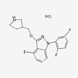 Cl.Fc1ccc(F)c(-n2nc(OCC3CCNC3)c3c(F)cccc32)c1